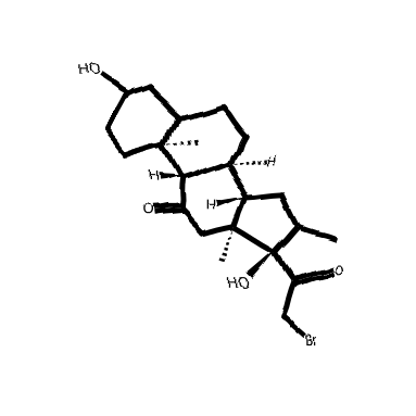 CC1C[C@H]2[C@@H]3CCC4CC(O)CC[C@]4(C)[C@H]3C(=O)C[C@]2(C)[C@@]1(O)C(=O)CBr